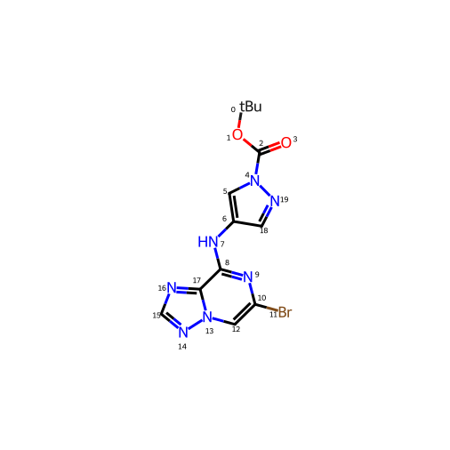 CC(C)(C)OC(=O)n1cc(Nc2nc(Br)cn3ncnc23)cn1